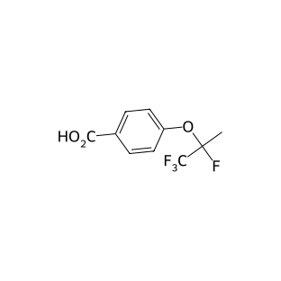 CC(F)(Oc1ccc(C(=O)O)cc1)C(F)(F)F